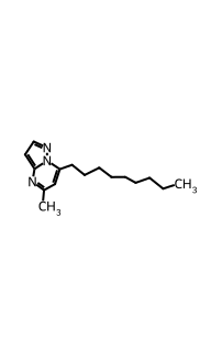 CCCCCCCCCc1cc(C)nc2ccnn12